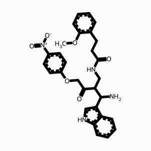 COc1ccccc1CCC(=O)NCC(C(=O)COc1ccc([N+](=O)[O-])cc1)C(N)c1c[nH]c2ccccc12